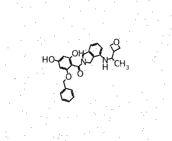 CC(Nc1cccc2c1CN(C(=O)c1c(O)cc(O)cc1OCc1ccccc1)C2)C1COC1